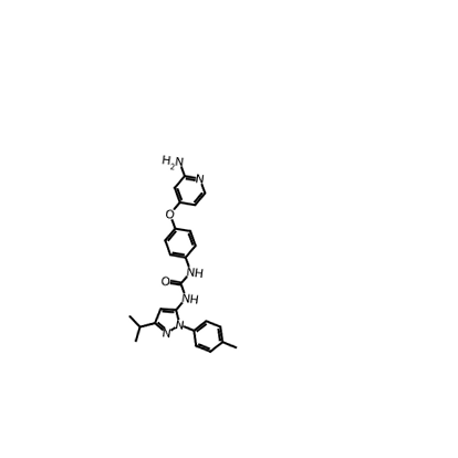 Cc1ccc(-n2nc(C(C)C)cc2NC(=O)Nc2ccc(Oc3ccnc(N)c3)cc2)cc1